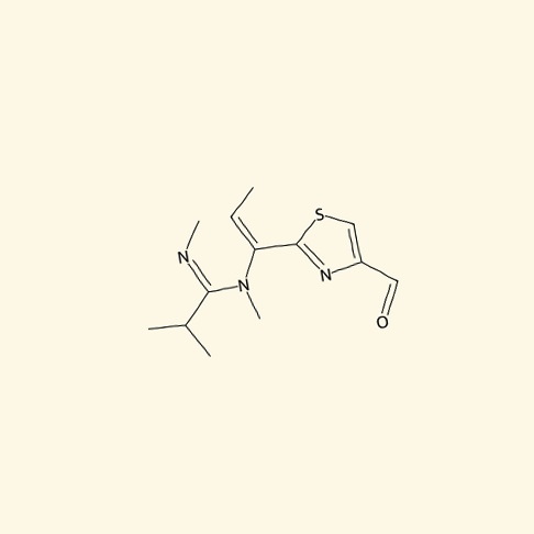 C/C=C(\c1nc(C=O)cs1)N(C)/C(=N\C)C(C)C